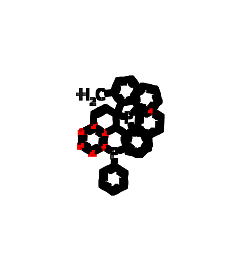 [CH2]c1ccccc1C1(P(c2ccccc2)c2ccccc2)C=Cc2ccccc2C1c1c(P(c2ccccc2)c2ccccc2)ccc2ccccc12